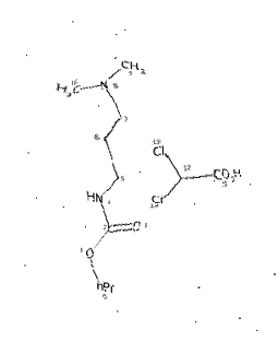 CCCOC(=O)NCCCN(C)C.O=C(O)C(Cl)Cl